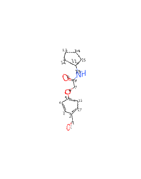 O=Cc1ccc(OCC(=O)NC2CCCC2)cc1